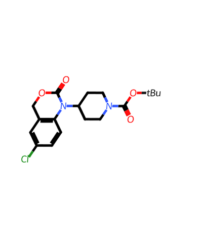 CC(C)(C)OC(=O)N1CCC(N2C(=O)OCc3cc(Cl)ccc32)CC1